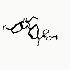 CCOC(=O)C(C)c1ccc(-n2c(CC)nc3cc(F)ccc32)cc1